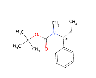 CC[C@H](c1ccccc1)N(C)C(=O)OC(C)(C)C